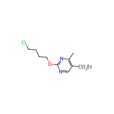 CCOC(=O)c1cnc(OCCCCCl)nc1C